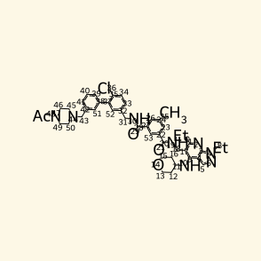 CCc1nc2c(cnn2CC)c(NC2CCOCC2)c1CNC(=O)c1cc(C)cc(C(=O)NCc2ccc(Cl)c(-c3cccc(CN4CCN(C(C)=O)CC4)c3)c2)c1